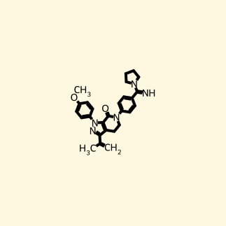 C=C(C)c1nn(-c2ccc(OC)cc2)c2c1CCN(c1ccc(C(=N)N3CCCC3)cc1)C2=O